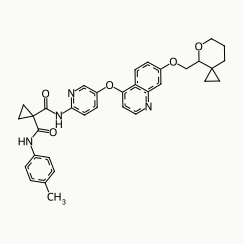 Cc1ccc(NC(=O)C2(C(=O)Nc3ccc(Oc4ccnc5cc(OCC6OCCCC67CC7)ccc45)cn3)CC2)cc1